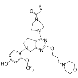 C=CC(=O)N1CCN(c2nc(OCCCN3CCOCC3)nc3c2CCN(c2ccc(O)cc2OC(F)(F)F)C3)CC1